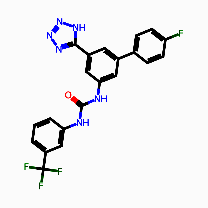 O=C(Nc1cc(-c2ccc(F)cc2)cc(-c2nnn[nH]2)c1)Nc1cccc(C(F)(F)F)c1